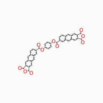 O=C(Oc1ccc(OC(=O)c2ccc3cc4cc5c(cc4cc3c2)C(=O)OC5=O)cc1)c1ccc2cc3cc4c(cc3cc2c1)C(=O)OC4=O